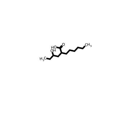 CCCCCCC(CC(O)CC)C(=O)O